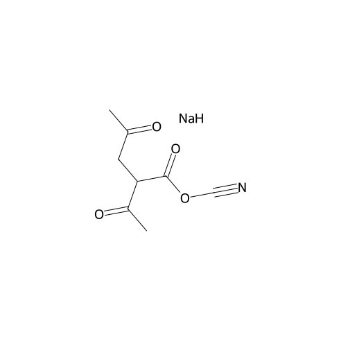 CC(=O)CC(C(C)=O)C(=O)OC#N.[NaH]